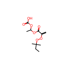 C=C(OOC(C)(C)CC)C(=O)OC(C)OC(=O)O